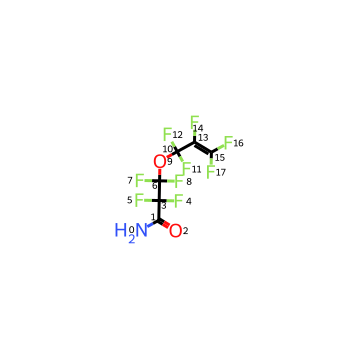 NC(=O)C(F)(F)C(F)(F)OC(F)(F)C(F)=C(F)F